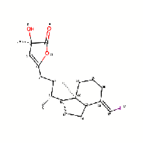 C[C@H](CCC1=C[C@@](C)(O)C(=O)O1)[C@H]1CCC2C(=CI)CCC[C@@]21C